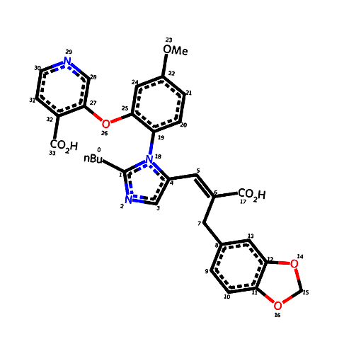 CCCCc1ncc(/C=C(\Cc2ccc3c(c2)OCO3)C(=O)O)n1-c1ccc(OC)cc1Oc1cnccc1C(=O)O